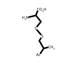 CC(=O)C(C)CSSCC(N)C(=O)O